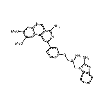 COc1cc2ncc3c(N)nc(-c4cncc(OC[C@@H](N)Cn5c(N)nc6ccccc65)c4)cc3c2cc1OC